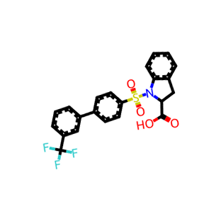 O=C(O)C1Cc2ccccc2N1S(=O)(=O)c1ccc(-c2cccc(C(F)(F)F)c2)cc1